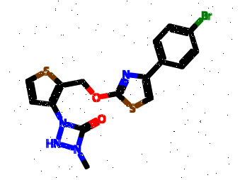 Cn1[nH]n(-c2ccsc2COc2nc(-c3ccc(Br)cc3)cs2)c1=O